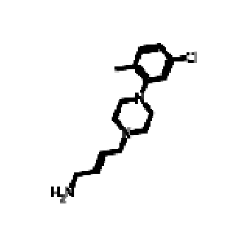 Cc1ccc(Cl)cc1N1CCN(CC=CCN)CC1